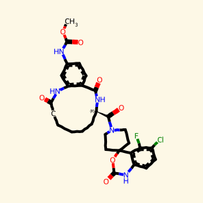 COC(=O)Nc1ccc2c(c1)NC(=O)CCCCC[C@H](C(=O)N1CCC3(CC1)OC(=O)Nc1ccc(Cl)c(F)c13)NC2=O